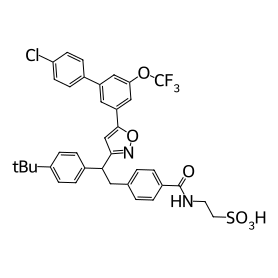 CC(C)(C)c1ccc(C(Cc2ccc(C(=O)NCCS(=O)(=O)O)cc2)c2cc(-c3cc(OC(F)(F)F)cc(-c4ccc(Cl)cc4)c3)on2)cc1